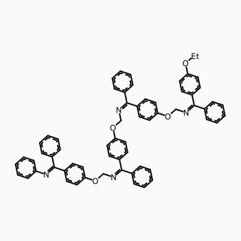 CCOc1ccc(/C(=N\COc2ccc(/C(=N\COc3ccc(/C(=N\COc4ccc(C(=Nc5ccccc5)c5ccccc5)cc4)c4ccccc4)cc3)c3ccccc3)cc2)c2ccccc2)cc1